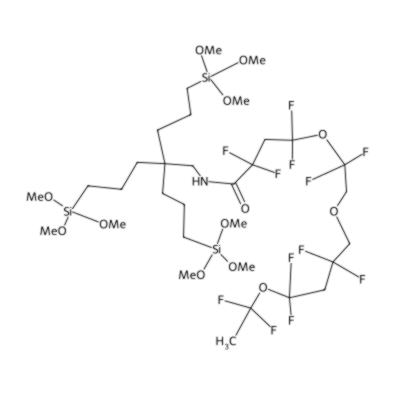 CO[Si](CCCC(CCC[Si](OC)(OC)OC)(CCC[Si](OC)(OC)OC)CNC(=O)C(F)(F)CC(F)(F)OC(F)(F)COCC(F)(F)CC(F)(F)OC(C)(F)F)(OC)OC